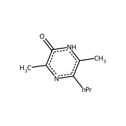 CCCc1nc(C)c(=O)[nH]c1C